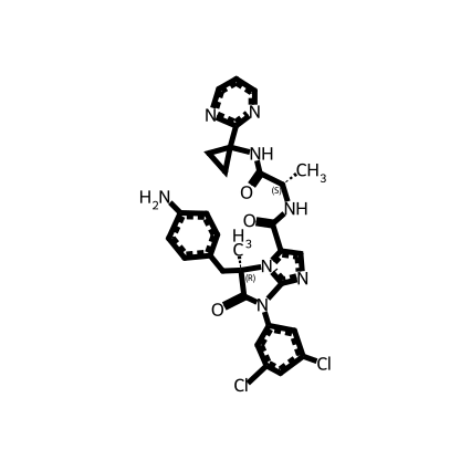 C[C@H](NC(=O)c1cnc2n1[C@](C)(Cc1ccc(N)cc1)C(=O)N2c1cc(Cl)cc(Cl)c1)C(=O)NC1(c2ncccn2)CC1